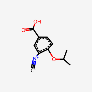 [C-]#[N+]c1cc(C(=O)O)ccc1OC(C)C